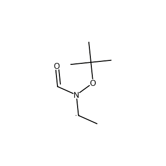 C[CH]N(C=O)OC(C)(C)C